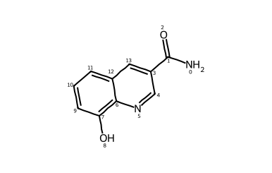 NC(=O)c1cnc2c(O)cccc2c1